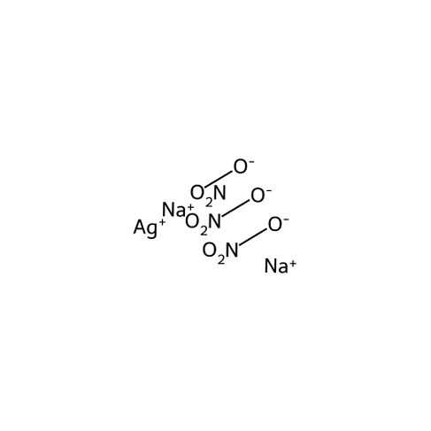 O=[N+]([O-])[O-].O=[N+]([O-])[O-].O=[N+]([O-])[O-].[Ag+].[Na+].[Na+]